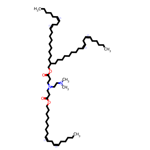 CCCCC/C=C\C/C=C\CCCCCCCCOC(=O)CCN(CCC(=O)OCC(CCCCCCCC/C=C\C/C=C\CCCCC)CCCCCCCC/C=C\C/C=C\CCCCC)CCN(C)C